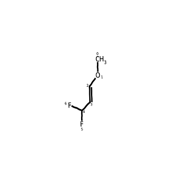 COC=CC(F)F